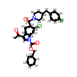 CC(=O)c1cn(C(=O)OCc2ccccc2)c2cc(Cl)c(C(=O)N3CCC(Cc4ccc(F)cc4)CC3)cc12